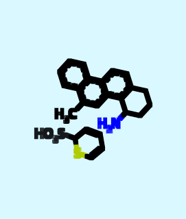 Cc1cc2c3c(ccc2c2ccccc12)CCCC3N.O=S(=O)(O)C1C=CC=CS1